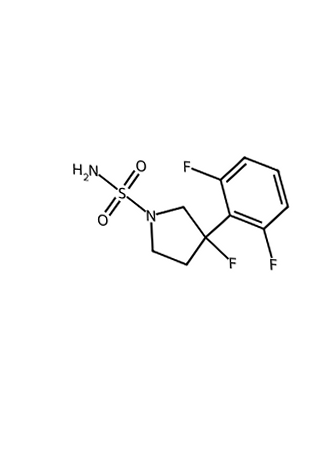 NS(=O)(=O)N1CCC(F)(c2c(F)cccc2F)C1